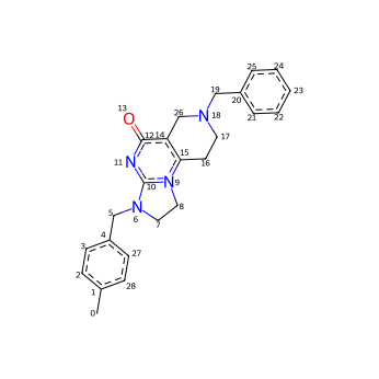 Cc1ccc(CN2CCn3c2nc(=O)c2c3CCN(Cc3ccccc3)C2)cc1